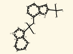 CC(C)(C)c1cc2cccc(CC(C)(C)c3csc4ccccc34)c2s1